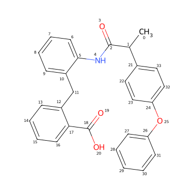 CC(C(=O)Nc1ccccc1Cc1ccccc1C(=O)O)c1ccc(Oc2ccccc2)cc1